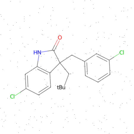 CC(C)(C)[CH]C1(Cc2cccc(Cl)c2)C(=O)Nc2cc(Cl)ccc21